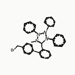 CN1C(c2ccccc2-c2ccc(CBr)cc2)N(c2ccccc2)N(c2ccccc2)N1c1ccccc1